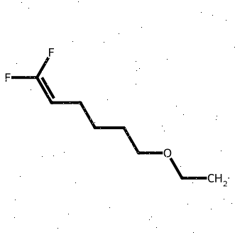 [CH2]COCCCCC=C(F)F